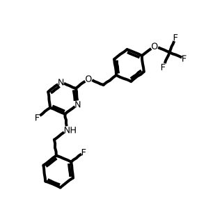 Fc1ccccc1CNc1nc(OCc2ccc(OC(F)(F)F)cc2)ncc1F